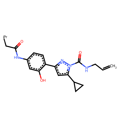 C=CCNC(=O)n1nc(-c2ccc(NC(=O)CC(C)C)cc2O)cc1C1CC1